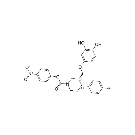 O=C(Oc1ccc([N+](=O)[O-])cc1)N1CC[C@@H](c2ccc(F)cc2)[C@H](COc2ccc(O)c(O)c2)C1